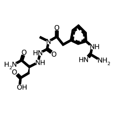 CN(C(=O)Cc1cccc(NC(=N)N)c1)C(=O)NN[C@@H](CC(=O)O)C(N)=O